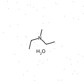 CCN(C)CC.O